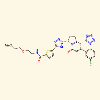 COCCOCCNC(=O)c1ccc(-c2cnc([C@@H]3CCc4cc(-c5cc(Cl)ccc5-n5cnnn5)cc(=O)n43)[nH]2)s1